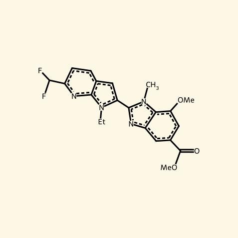 CCn1c(-c2nc3cc(C(=O)OC)cc(OC)c3n2C)cc2ccc(C(F)F)nc21